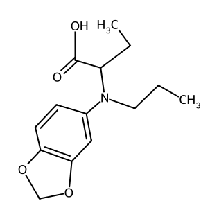 CCCN(c1ccc2c(c1)OCO2)C(CC)C(=O)O